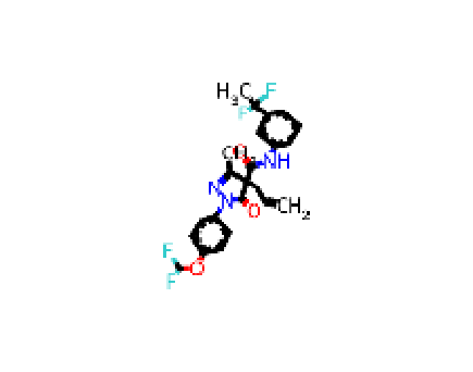 C=CCC1(C(=O)Nc2cccc(C(C)(F)F)c2)C(=O)N(c2ccc(OC(F)F)cc2)N=C1C